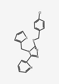 Clc1ccc(CSc2nnc(-c3ccccn3)n2Cc2cccs2)cc1